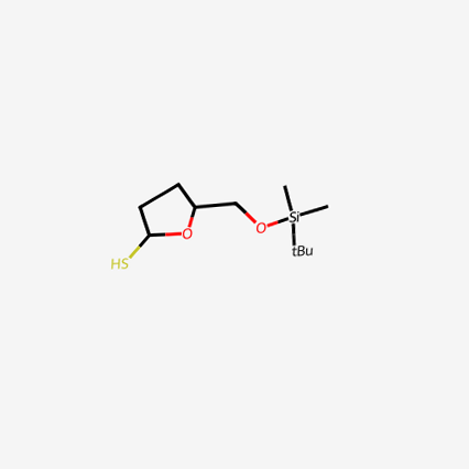 CC(C)(C)[Si](C)(C)OCC1CCC(S)O1